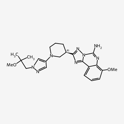 COc1cccc2c1nc(N)n1nc([C@@H]3CCCN(c4cnn(CC(C)(C)OC)c4)C3)nc21